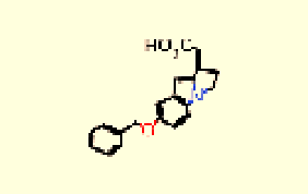 O=C(O)/C=C1/CCn2c1cc1cc(OCc3ccccc3)ccc12